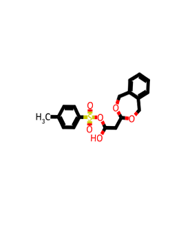 Cc1ccc(S(=O)(=O)OC(O)CC2OCc3ccccc3CO2)cc1